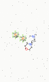 CN(C)C[C+2]N1CCOCC1.F[P-](F)(F)(F)(F)F.F[P-](F)(F)(F)(F)F